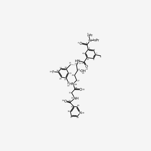 CCCN(CCC)C(=O)c1cc(C)cc(C(=O)N[C@@H](Cc2cc(F)cc(F)c2)[C@H](O)CCNC(=O)CNC(=O)c2cccnc2)c1